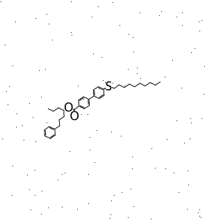 CCCCCCCCCCSc1ccc(-c2ccc(C(=O)OC(CCC)CCCc3ccccc3)cc2)cc1